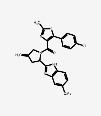 C=C1CC(c2nc3cc(OC)ccc3[nH]2)N(C(=O)c2nc(C)sc2-c2ccc(Cl)cc2)C1